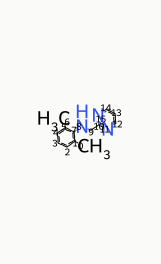 Cc1cccc(C)c1NCc1ncccn1